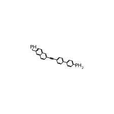 PCc1ccc2cc(C#Cc3ccc(-c4ccc(P)cc4)cc3)ccc2c1